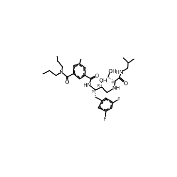 CCCN(CCC)C(=O)c1cc(C)cc(C(=O)N[C@@H](Cc2cc(F)cc(F)c2)[C@H](O)CN[C@H](CO)C(=O)NCC(C)C)c1